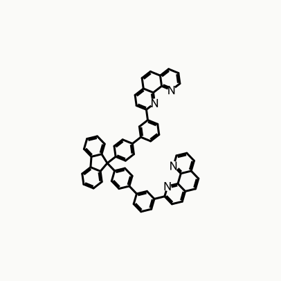 c1cc(-c2ccc(C3(c4ccc(-c5cccc(-c6ccc7ccc8cccnc8c7n6)c5)cc4)c4ccccc4-c4ccccc43)cc2)cc(-c2ccc3ccc4cccnc4c3n2)c1